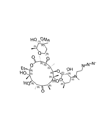 CC[C@H]1OC(=O)[C@H](C)[C@@H](O[C@H]2C[C@@](C)(OC)[C@@H](O)[C@H](C)O2)[C@H](C)[C@@H](O[C@@H]2O[C@H](C)C[C@H](N(C)CCN=[N+]=[N-])[C@H]2O)[C@](C)(O)C[C@@H](C)C(=O)[C@H](C)[C@@H](O)[C@]1(C)O